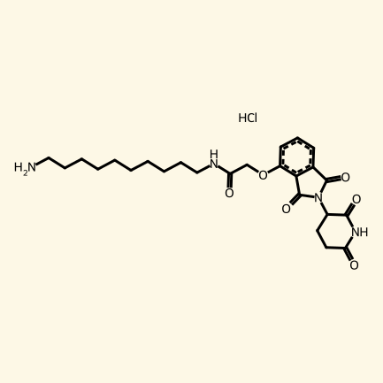 Cl.NCCCCCCCCCCNC(=O)COc1cccc2c1C(=O)N(C1CCC(=O)NC1=O)C2=O